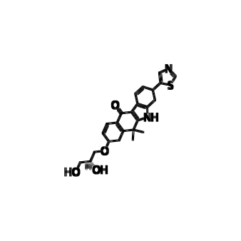 CC1(C)C2=C(C=CC(OC[C@H](O)CO)C2)C(=O)c2c1[nH]c1c2C=CC(c2cncs2)C1